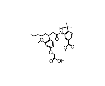 CCCCCC(CC(=O)Nc1cc(C(=O)OC)ccc1C(C)(C)C)c1ccc(OCC(=O)O)cc1OC